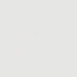 CC1CC(=Cc2ccccc2Cl)C(=O)O1